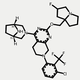 FC1CN2CCCC2(COc2nc3c(c(N4C[C@H]5CC[C@@H](C4)N5)n2)CCN(c2cccc(Cl)c2C(F)(F)F)C3)C1